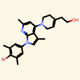 Cc1cc(N2CC=C(CCO)CC2)c2c(C)cn(-c3cc(C)c(Br)c(C)c3)c2n1